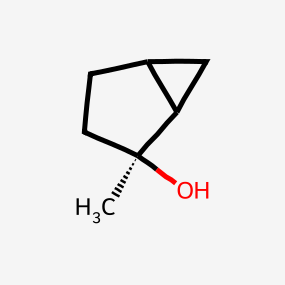 C[C@]1(O)CCC2CC21